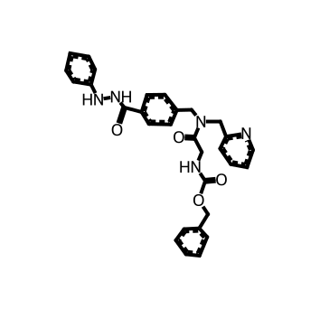 O=C(NCC(=O)N(Cc1ccc(C(=O)NNc2ccccc2)cc1)Cc1ccccn1)OCc1ccccc1